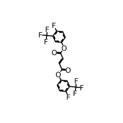 O=C(/C=C/C(=O)Oc1ccc(F)c(C(F)(F)F)c1)Oc1ccc(F)c(C(F)(F)F)c1